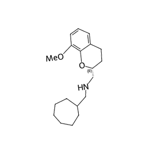 COc1cccc2c1O[C@@H](CNCC1CCCCCC1)CC2